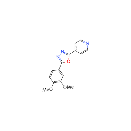 COc1ccc(-c2nnc(-c3ccncc3)o2)cc1OC